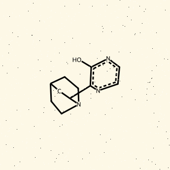 Oc1nccnc1C1CC2CCN1CC2